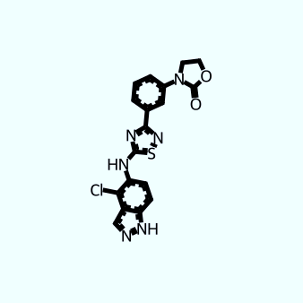 O=C1OCCN1c1cccc(-c2nsc(Nc3ccc4[nH]ncc4c3Cl)n2)c1